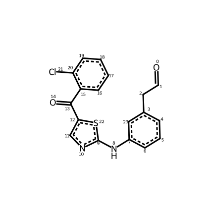 O=CCc1cccc(Nc2ncc(C(=O)c3ccccc3Cl)s2)c1